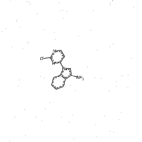 Nc1cn(-c2ccnc(Cl)n2)c2ccccc12